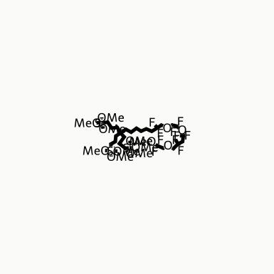 COC(F)(F)COCC(F)(F)CC(F)(F)OC(F)(F)COCC(F)(F)CCCCCCC(CCC[Si](OC)(OC)OC)(CCC[Si](OC)(OC)OC)CCC[Si](OC)(OC)OC